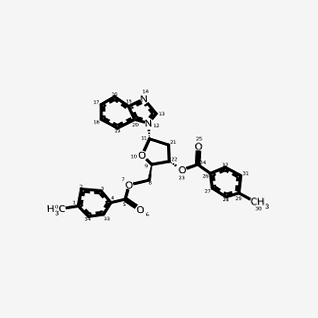 Cc1ccc(C(=O)OC[C@H]2O[C@H](n3cnc4ccccc43)C[C@@H]2OC(=O)c2ccc(C)cc2)cc1